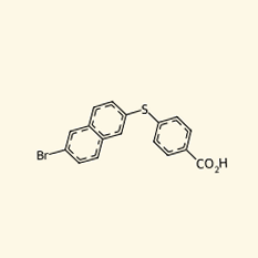 O=C(O)c1ccc(Sc2ccc3cc(Br)ccc3c2)cc1